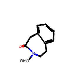 CON1CCc2ccccc2CC1=O